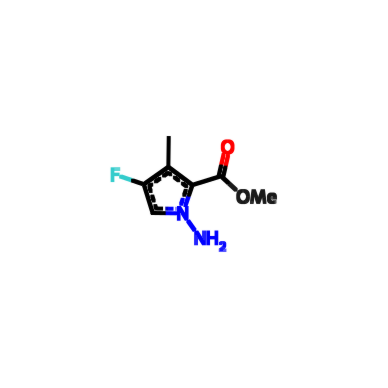 COC(=O)c1c(C)c(F)cn1N